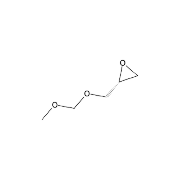 COCOC[C@H]1CO1